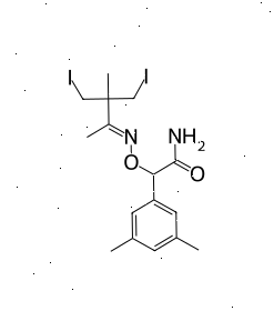 C/C(=N\OC(C(N)=O)c1cc(C)cc(C)c1)C(C)(CI)CI